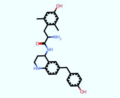 Cc1cc(O)cc(C)c1CC(N)C(=O)NC1CCNc2ccc(Cc3ccc(O)cc3)cc21